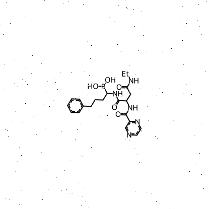 CCNC(=O)CC(NC(=O)c1cnccn1)C(=O)NC(CCCc1ccccc1)B(O)O